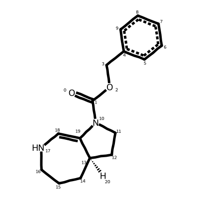 O=C(OCc1ccccc1)N1CC[C@H]2CCCNC=C21